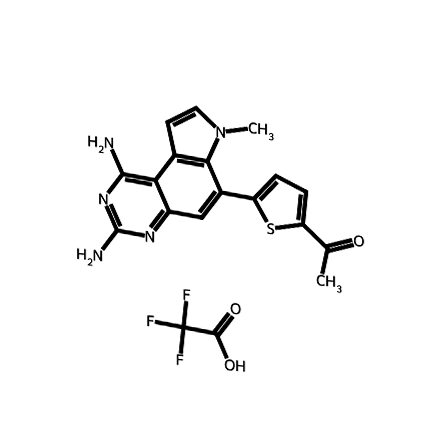 CC(=O)c1ccc(-c2cc3nc(N)nc(N)c3c3ccn(C)c23)s1.O=C(O)C(F)(F)F